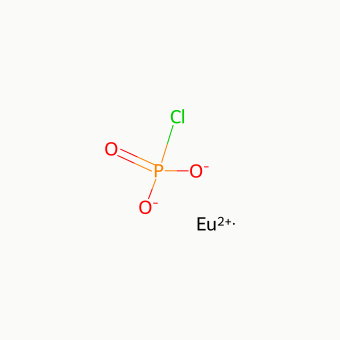 O=P([O-])([O-])Cl.[Eu+2]